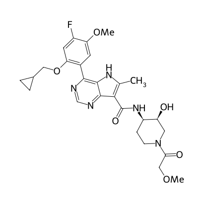 COCC(=O)N1CC[C@@H](NC(=O)c2c(C)[nH]c3c(-c4cc(OC)c(F)cc4OCC4CC4)ncnc23)[C@@H](O)C1